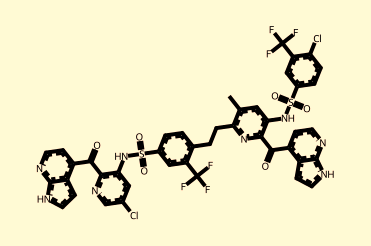 Cc1cc(NS(=O)(=O)c2ccc(Cl)c(C(F)(F)F)c2)c(C(=O)c2ccnc3[nH]ccc23)nc1CCc1ccc(S(=O)(=O)Nc2cc(Cl)cnc2C(=O)c2ccnc3[nH]ccc23)cc1C(F)(F)F